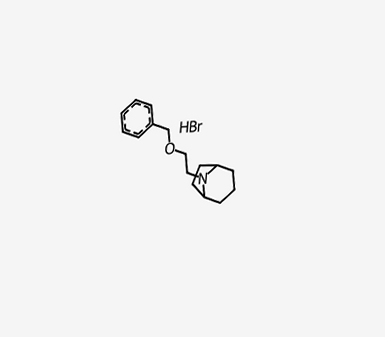 Br.c1ccc(COCCN2C3CCCC2CC3)cc1